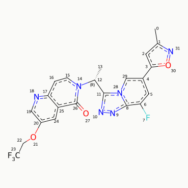 Cc1cc(-c2cc(F)c3nnc([C@@H](C)n4ccc5ncc(OCC(F)(F)F)cc5c4=O)n3c2)on1